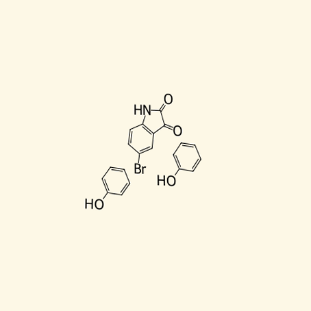 O=C1Nc2ccc(Br)cc2C1=O.Oc1ccccc1.Oc1ccccc1